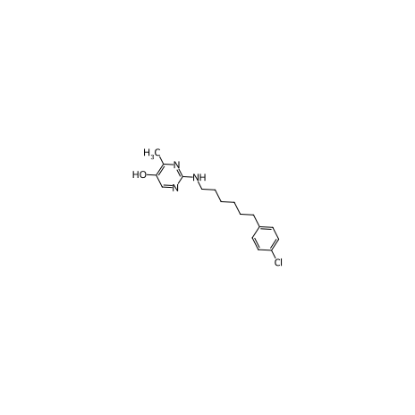 Cc1nc(NCCCCCCc2ccc(Cl)cc2)ncc1O